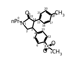 CCCN1CC(c2ccc(S(C)(=O)=O)cc2)C(c2ccc(C)cc2)C1=O